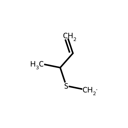 [CH2]SC(C)C=C